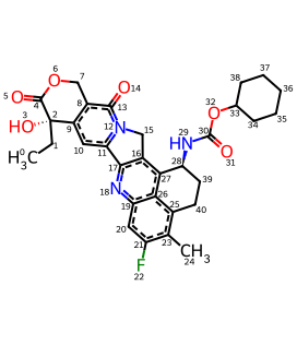 CC[C@@]1(O)C(=O)OCc2c1cc1n(c2=O)Cc2c-1nc1cc(F)c(C)c3c1c2[C@@H](NC(=O)OC1CCCCC1)CC3